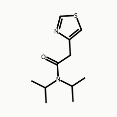 CC(C)N(C(=O)Cc1cscn1)C(C)C